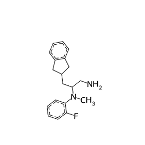 CN(c1ccccc1F)C(CN)CC1Cc2ccccc2C1